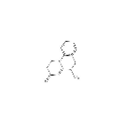 CC1Cc2ccccc2N2CCC(=O)C=C12